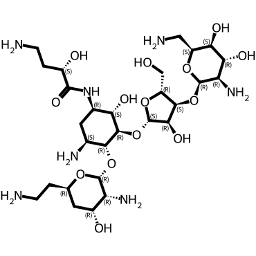 NCC[C@@H]1C[C@@H](O)[C@@H](N)[C@@H](O[C@H]2[C@H](O[C@@H]3O[C@H](CO)[C@@H](O[C@H]4O[C@@H](CN)[C@@H](O)[C@H](O)[C@H]4N)[C@H]3O)[C@@H](O)[C@H](NC(=O)[C@@H](O)CCN)C[C@@H]2N)O1